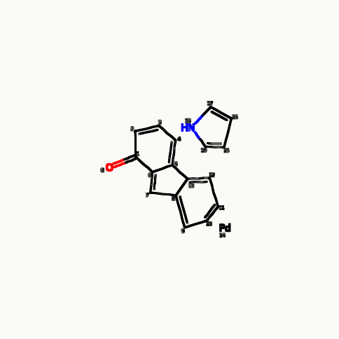 O=C1C=CC=C2C1=Cc1ccccc12.[Pd].c1cc[nH]c1